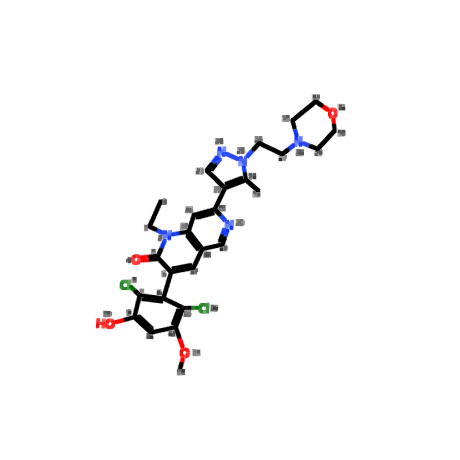 CCn1c(=O)c(-c2c(Cl)c(O)cc(OC)c2Cl)cc2cnc(-c3cnn(CCN4CCOCC4)c3C)cc21